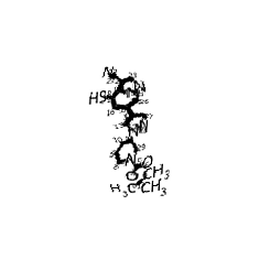 CC(C)(C)OC(=O)N1CCC[C@H](n2cc(-c3cc(S)c4c(C#N)cnn4c3)cn2)C1